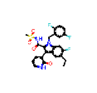 CCc1cc2c(-c3ccc[nH]c3=O)c(C(=O)NS(C)(=O)=O)n(Cc3cc(F)ccc3F)c2cc1F